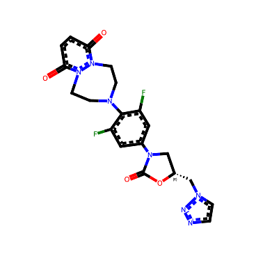 O=C1O[C@@H](Cn2ccnn2)CN1c1cc(F)c(N2CCn3c(=O)ccc(=O)n3CC2)c(F)c1